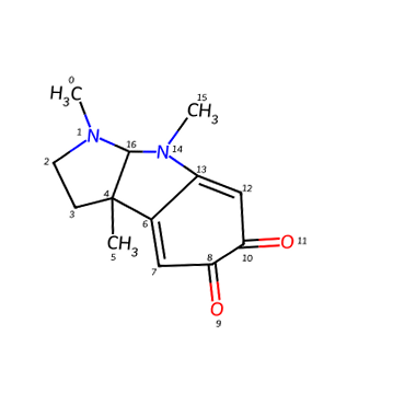 CN1CCC2(C)C3=CC(=O)C(=O)C=C3N(C)C12